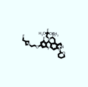 C[C@@H]1Cc2c(ccc3c2cnn3C2CCCCO2)C(c2c(F)cc(OCCN3CC(CF)C3)cc2F)N1CC(C)(C)F